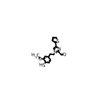 COc1cc(CCn2cc(-c3cccs3)nc2C=O)ccc1S